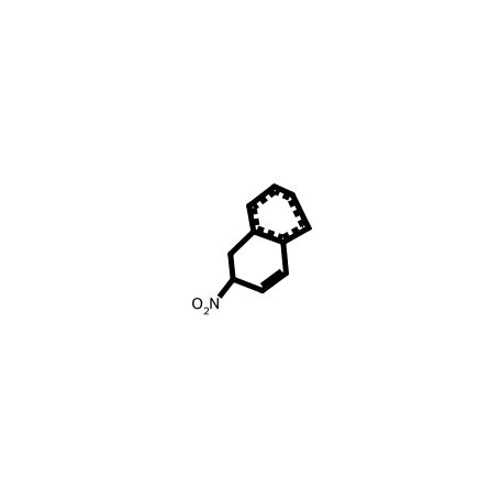 O=[N+]([O-])C1C=Cc2ccccc2C1